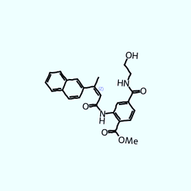 COC(=O)c1ccc(C(=O)NCCO)cc1NC(=O)/C=C(/C)c1ccc2ccccc2c1